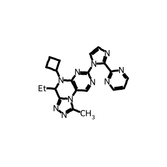 CCC1c2nnc(C)n2-c2cnc(-n3ccnc3-c3ncccn3)nc2N1C1CCC1